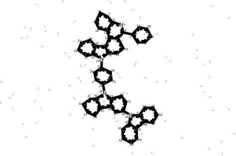 c1ccc(-c2nc3ccccc3c3c2ccc2c3c3ccccc3n2-c2ccc(-n3c4ccccc4c4cc(-n5c6ccccc6c6ccccc65)ccc43)cc2)cc1